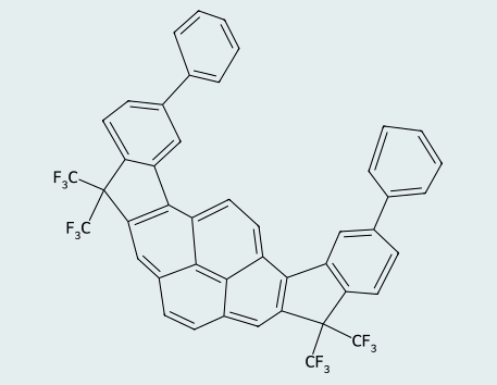 FC(F)(F)C1(C(F)(F)F)c2ccc(-c3ccccc3)cc2-c2c1cc1ccc3cc4c(c5ccc2c1c35)-c1cc(-c2ccccc2)ccc1C4(C(F)(F)F)C(F)(F)F